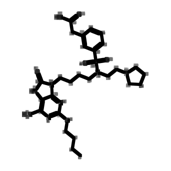 CCCCOc1nc(N)c2[nH]c(=O)n(CCCCN(CCN3CCCC3)S(=O)(=O)c3cccc(CC(=O)O)c3)c2n1